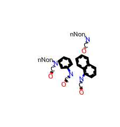 CCCCCCC[CH]CN=C=O.CCCCCCC[CH]CN=C=O.O=C=Nc1cccc2ccccc12.O=C=Nc1ccccc1